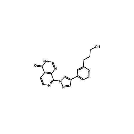 O=c1[nH]cnc2c(-n3cc(-c4cccc(CCCO)c4)cn3)nccc12